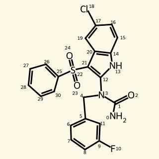 NC(=O)N(Cc1cccc(F)c1)c1[nH]c2ccc(Cl)cc2c1S(=O)(=O)c1ccccc1